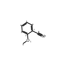 COc1cc[c]cc1C#N